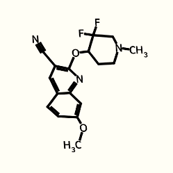 COc1ccc2cc(C#N)c(OC3CCN(C)CC3(F)F)nc2c1